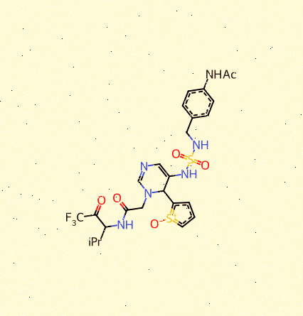 CC(=O)Nc1ccc(CNS(=O)(=O)NC2=CN=CN(CC(=O)NC(C(=O)C(F)(F)F)C(C)C)C2c2ccc[s+]2[O-])cc1